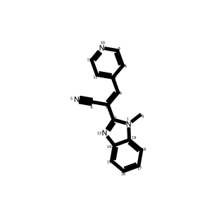 Cn1c(/C(C#N)=C/c2ccncc2)nc2ccccc21